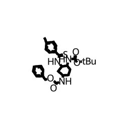 Cc1ccc(C(=S)NC2CC(NC(=O)OCc3ccccc3)CCC2NC(=O)OC(C)(C)C)cc1